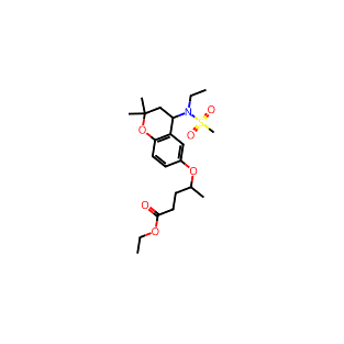 CCOC(=O)CCC(C)Oc1ccc2c(c1)C(N(CC)S(C)(=O)=O)CC(C)(C)O2